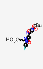 CC(C)(C)OC(=O)N1CCC2(CC1)CC(c1ccc3c(=O)n(-c4ccc(F)cc4)c(CCCCC(=O)O)nc3c1)=NO2